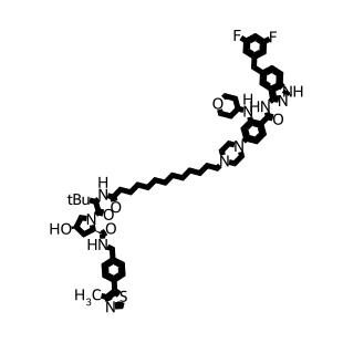 Cc1ncsc1-c1ccc(CNC(=O)[C@@H]2C[C@@H](O)CN2C(=O)C(NC(=O)CCCCCCCCCCCCN2CCN(c3ccc(C(=O)Nc4n[nH]c5ccc(Cc6cc(F)cc(F)c6)cc45)c(NC4CCOCC4)c3)CC2)C(C)(C)C)cc1